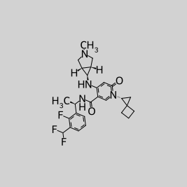 C[C@@H](NC(=O)c1cn([C@@H]2CC23CCC3)c(=O)cc1N[C@H]1[C@@H]2CN(C)C[C@@H]21)c1cccc(C(F)F)c1F